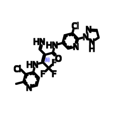 Cc1nccc(N/C(=C(\C=N)C(=O)Nc2cnc(N3N=CCN3)c(Cl)c2)C(F)(F)F)c1Cl